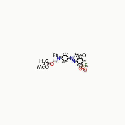 CCN(CCOC(C)OC)c1ccc(N=Nc2cc(S(=O)(=O)F)ccc2OC)cc1